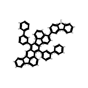 c1ccc(-c2cccc(-c3c4cc5c6ccccc6c6cccc(c4c(-c4cccc(-c7ccccc7)c4)c4c7ccc(-c8ccc9sc%10ccccc%10c9c8)c8cccc(c34)c87)c65)c2)cc1